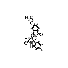 CCOc1ccc2c(c1)CN(CC1(c3ccc(F)cc3)NC(=O)NC1=O)C2=O